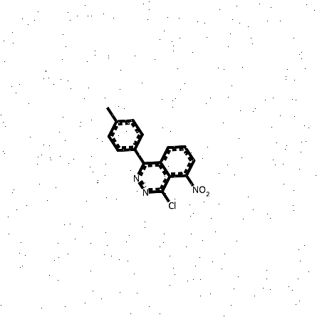 Cc1ccc(-c2nnc(Cl)c3c([N+](=O)[O-])cccc23)cc1